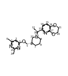 Cc1cc(OC[C@H]2CCCN([C@@H](C)c3ccc4c(n3)OCCO4)C2)nc(C)n1